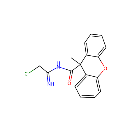 CC1(C(=O)NC(=N)CCl)c2ccccc2Oc2ccccc21